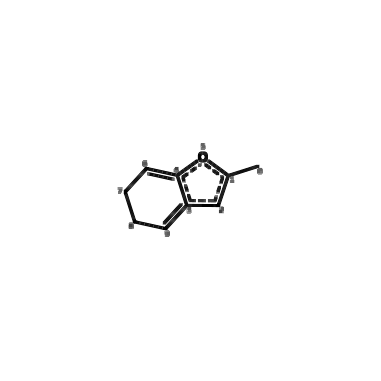 Cc1cc2c(o1)=CCCC=2